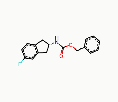 O=C(N[C@H]1Cc2ccc(F)cc2C1)OCc1ccccc1